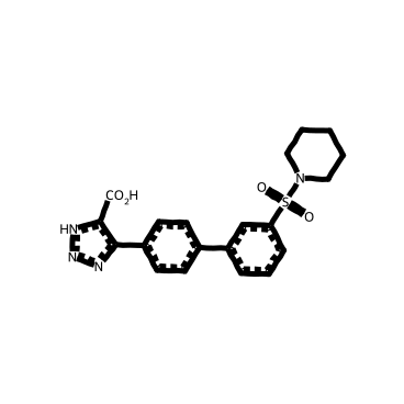 O=C(O)c1[nH]nnc1-c1ccc(-c2cccc(S(=O)(=O)N3CCCCC3)c2)cc1